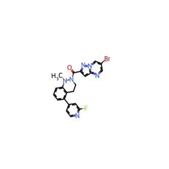 CN1c2cccc(-c3ccnc(F)c3)c2CCN1C(=O)c1cc2ncc(Br)cn2n1